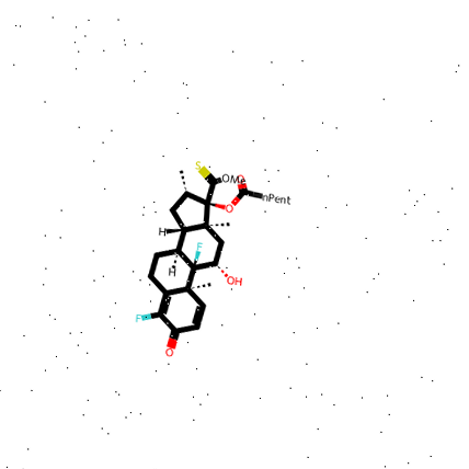 CCCCCC(=O)O[C@]1(C(=S)OC)[C@@H](C)C[C@H]2[C@@H]3CCC4=C(F)C(=O)C=C[C@]4(C)[C@@]3(F)[C@@H](O)C[C@@]21C